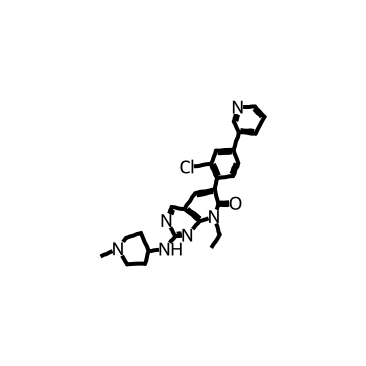 CCn1c(=O)c(-c2ccc(-c3cccnc3)cc2Cl)cc2cnc(NC3CCN(C)CC3)nc21